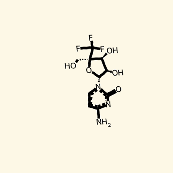 Nc1ccn([C@@H]2O[C@@](CO)(C(F)(F)F)[C@@H](O)[C@H]2O)c(=O)n1